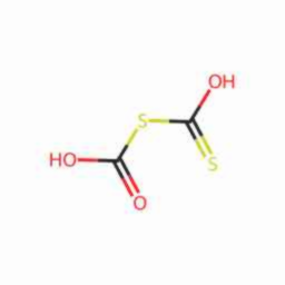 O=C(O)SC(O)=S